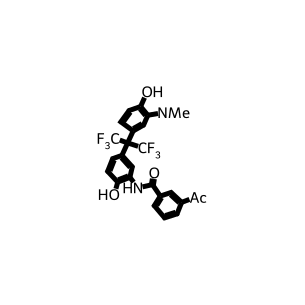 CNc1cc(C(c2ccc(O)c(NC(=O)c3cccc(C(C)=O)c3)c2)(C(F)(F)F)C(F)(F)F)ccc1O